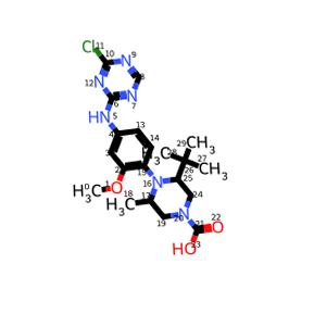 COc1cc(Nc2ncnc(Cl)n2)ccc1N1C(C)CN(C(=O)O)CC1C(C)(C)C